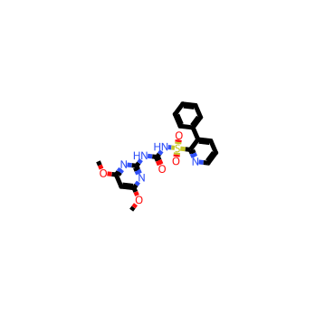 COc1cc(OC)nc(NC(=O)NS(=O)(=O)c2ncccc2-c2ccccc2)n1